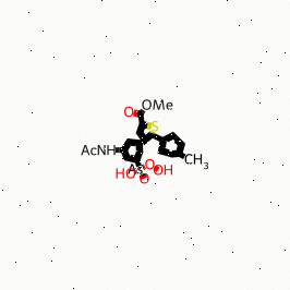 CC(=O)Nc1cccc([As](=O)(O)OO)c1.COC(=O)c1ccc(-c2ccc(C)cc2)s1